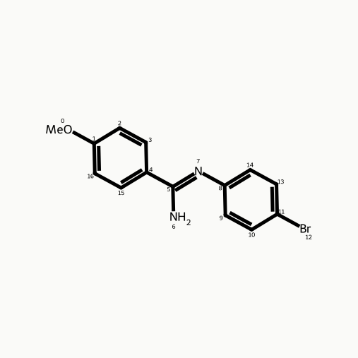 COc1ccc(C(N)=Nc2ccc(Br)cc2)cc1